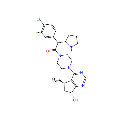 C[C@@H]1C[C@@H](O)c2ncnc(N3CCN(C(=O)C(c4ccc(Cl)c(F)c4)C4CCCN4)CC3)c21